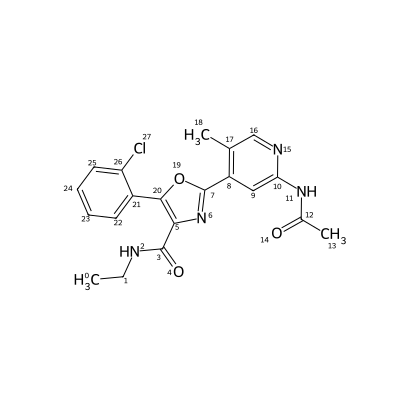 CCNC(=O)c1nc(-c2cc(NC(C)=O)ncc2C)oc1-c1ccccc1Cl